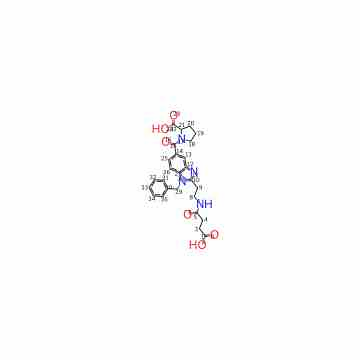 O=C(O)CCC(=O)NCCc1nc2cc(C(=O)N3CCCC3C(=O)O)ccc2n1Cc1ccccc1